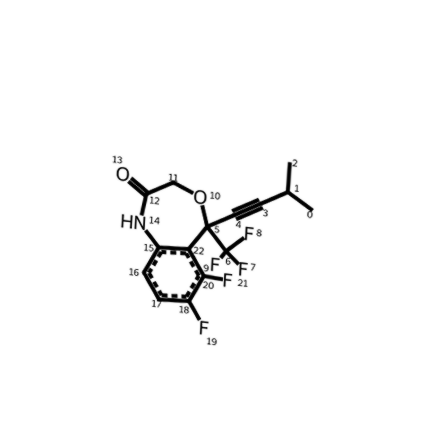 CC(C)C#CC1(C(F)(F)F)OCC(=O)Nc2ccc(F)c(F)c21